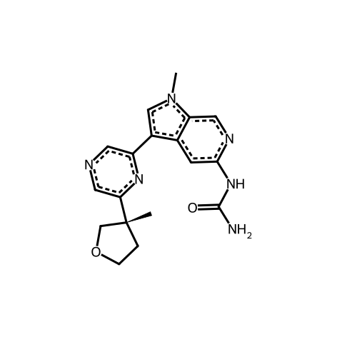 Cn1cc(-c2cncc([C@]3(C)CCOC3)n2)c2cc(NC(N)=O)ncc21